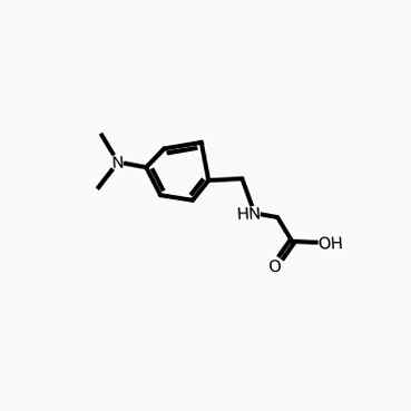 CN(C)c1ccc(CNCC(=O)O)cc1